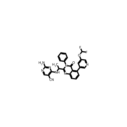 CC(Nc1nc(N)ncc1C#N)c1nc2cccc(-c3cncc(OC(F)F)c3)c2c(=O)n1-c1ccccc1